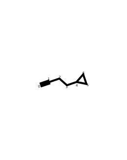 [C]#CCCC1CC1